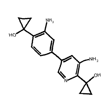 Nc1cc(-c2cnc(C3(O)CC3)c(N)c2)ccc1C1(O)CC1